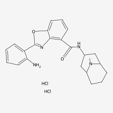 CN1C2CCCC1CC(NC(=O)c1cccc3oc(-c4ccccc4N)nc13)C2.Cl.Cl